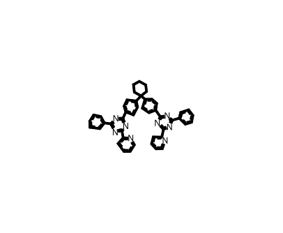 c1ccc(-c2nc(-c3ccc(C4(c5ccc(-c6nc(-c7ccccc7)nc(-c7ccccn7)n6)cc5)CCCCC4)cc3)nc(-c3ccccn3)n2)cc1